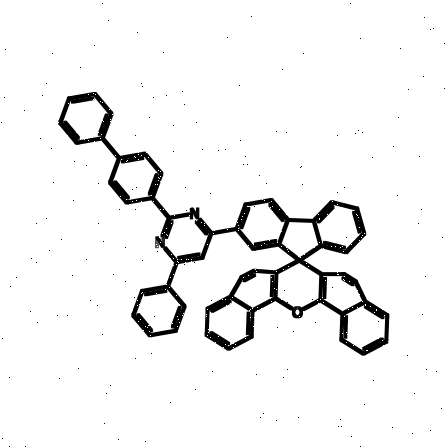 c1ccc(-c2ccc(-c3nc(-c4ccccc4)cc(-c4ccc5c(c4)C4(c6ccccc6-5)c5ccc6ccccc6c5Oc5c4ccc4ccccc54)n3)cc2)cc1